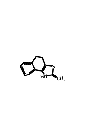 C=C1NC2=C(CCc3ccccc32)S1